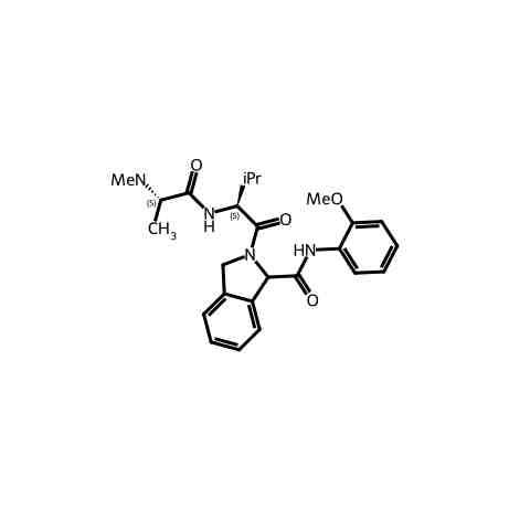 CN[C@@H](C)C(=O)N[C@H](C(=O)N1Cc2ccccc2C1C(=O)Nc1ccccc1OC)C(C)C